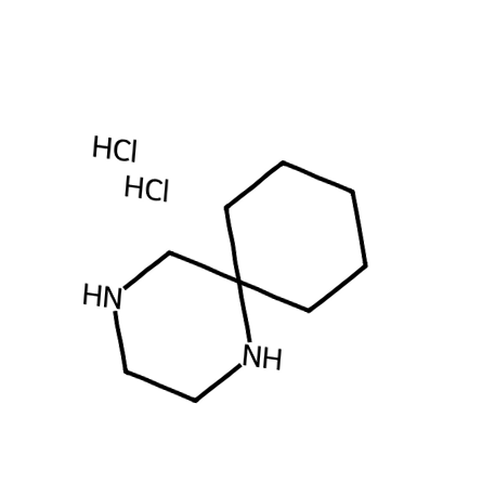 C1CCC2(CC1)CNCCN2.Cl.Cl